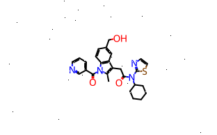 Cc1c(CC(=O)N(c2nccs2)C2CCCCC2)c2cc(CO)ccc2n1C(=O)c1cccnc1